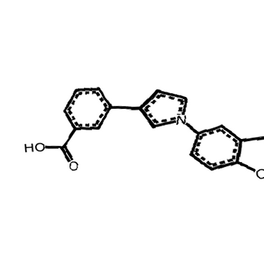 O=C(O)c1cccc(-c2ccn(-c3ccc4c(c3)CCO4)c2)c1